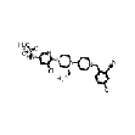 CC[C@H]1CN(c2ncc(NS(C)(=O)=O)cc2Cl)CCN1C1CCN(Cc2ccc(Cl)cc2C#N)CC1